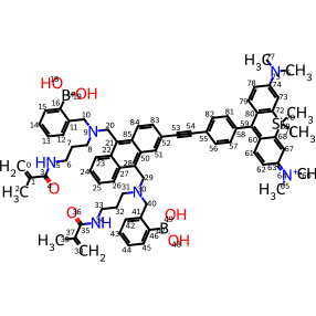 C=C(C)C(=O)NCCCN(Cc1ccccc1B(O)O)Cc1c2ccccc2c(CN(CCCNC(=O)C(=C)C)Cc2ccccc2B(O)O)c2cc(C#Cc3ccc(C4=C5C=CC(=[N+](C)C)C=C5[Si](C)(C)c5cc(N(C)C)ccc54)cc3)ccc12